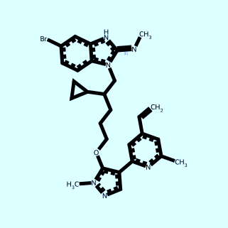 C=Cc1cc(C)nc(-c2cnn(C)c2OCCCC(Cn2/c(=N/C)[nH]c3cc(Br)ccc32)C2CC2)c1